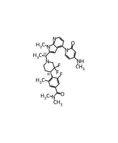 CNc1ccn(-c2ccnc3c2cc([C@H](C)N2CC[C@H](c4c(C)cc(C(=O)N(C)C)cc4F)C(F)(F)C2)n3C)c(=O)c1